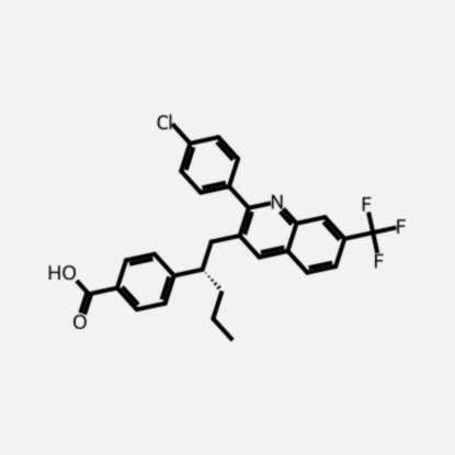 CCC[C@@H](Cc1cc2ccc(C(F)(F)F)cc2nc1-c1ccc(Cl)cc1)c1ccc(C(=O)O)cc1